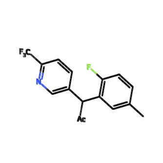 CC(=O)C(c1ccc(C(F)(F)F)nc1)c1cc(C)ccc1F